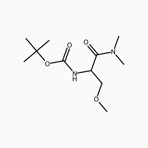 COCC(NC(=O)OC(C)(C)C)C(=O)N(C)C